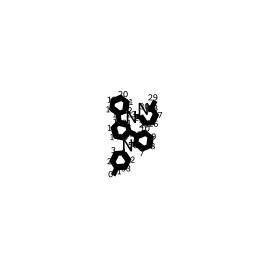 Cc1ccc(-n2c3ccccc3c3c2ccc2c4ccccc4n(-c4cccc(C)n4)c23)cc1